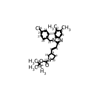 Cc1cc2nc(/C=C/C3CCN(C(=O)OC(C)(C)C)C3)n(Cc3ccc(Cl)cc3)c2cc1C